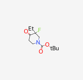 CCC1(F)CN(C(=O)OC(C)(C)C)CCC1=O